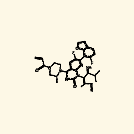 C=CC(=O)N1CCN(c2nc(=O)n(/C(C(=N)C(C)C)=C(\C)C=C)c3nc(-c4c(F)ccc5ccoc45)c(F)cc23)[C@@H](C)C1